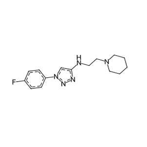 Fc1ccc(-n2cc(NCCN3CCCCC3)nn2)cc1